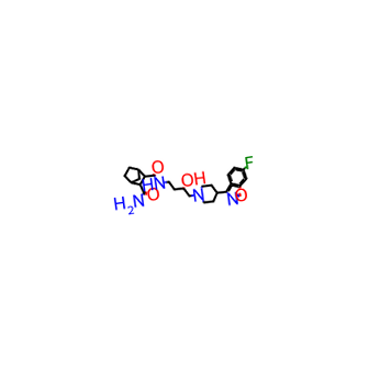 NC(=O)C1C2CCC(C2)C1C(=O)NCCC(O)CN1CCC(c2noc3cc(F)ccc23)CC1